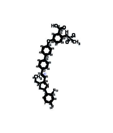 CCN1CC(c2ccc(F)cc2F)N=C1/C=C/c1ccc(-c2ccc(Oc3ccc(NS(C)(=O)=O)c(C(=O)O)c3)cc2)cc1